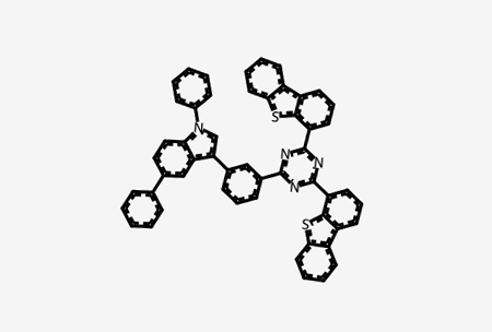 c1ccc(-c2ccc3c(c2)c(-c2cccc(-c4nc(-c5cccc6c5sc5ccccc56)nc(-c5cccc6c5sc5ccccc56)n4)c2)cn3-c2ccccc2)cc1